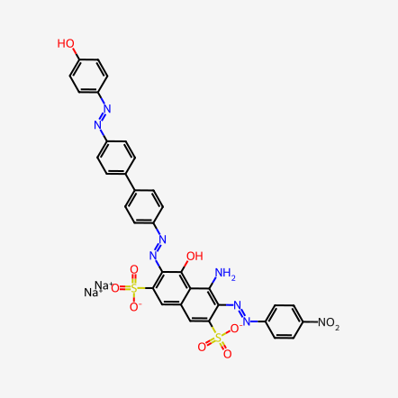 Nc1c(N=Nc2ccc([N+](=O)[O-])cc2)c(S(=O)(=O)[O-])cc2cc(S(=O)(=O)[O-])c(N=Nc3ccc(-c4ccc(N=Nc5ccc(O)cc5)cc4)cc3)c(O)c12.[Na+].[Na+]